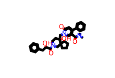 CN(C)C(=O)c1cn(CC2(O)CCN(C(=O)C(O)Cc3ccccc3)CC23CCCC3)c(=O)cc1-c1ccccc1